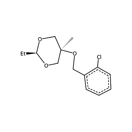 CC[C@H]1OC[C@@](C)(OCc2ccccc2Cl)CO1